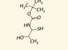 CC(O)C(S)NC(=O)OC(C)(C)C